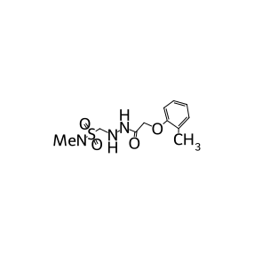 CNS(=O)(=O)CNNC(=O)COc1ccccc1C